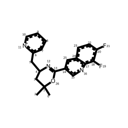 CC1(C)CC(Cc2ccccn2)N=C(c2cnc3c(F)c(F)ccc3c2)O1